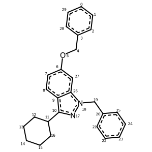 c1ccc(COc2ccc3c(C4CCCCC4)nn(Cc4ccccc4)c3c2)cc1